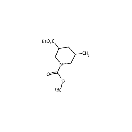 CCOC(=O)C1CC(C)CN(C(=O)OC(C)(C)C)C1